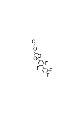 COCCOCC1COC(c2cc(F)c(-c3ccc(F)c(F)c3)c(F)c2)OC1